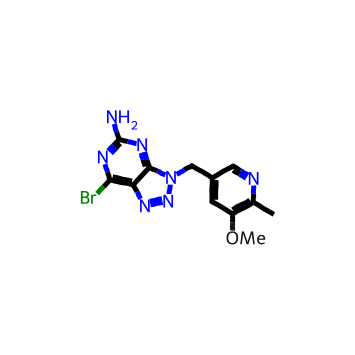 COc1cc(Cn2nnc3c(Br)nc(N)nc32)cnc1C